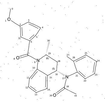 COc1cccc(C(=O)N2c3ccccc3[C@@H](N(C(C)=O)c3ccccc3C)C[C@H]2C)c1